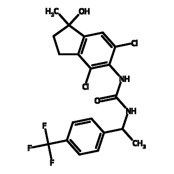 CC(NC(=O)Nc1c(Cl)cc2c(c1Cl)CCC2(C)O)c1ccc(C(F)(F)F)cc1